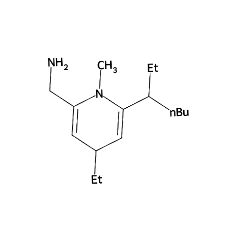 CCCCC(CC)C1=CC(CC)C=C(CN)N1C